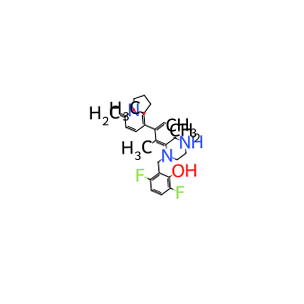 C=C1NCCN(Cc2c(F)ccc(F)c2O)/C1=C(C)/C(=C\C)C(/C=C\C(=C)N1CCCC1)=C/C